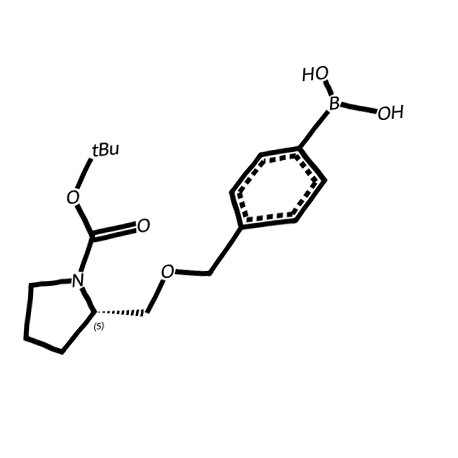 CC(C)(C)OC(=O)N1CCC[C@H]1COCc1ccc(B(O)O)cc1